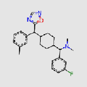 Cc1cccc(C(c2ncno2)C2CCC(C(c3cccc(F)c3)N(C)C)CC2)c1